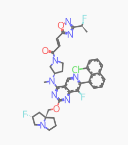 C[C@H](F)c1noc(/C=C/C(=O)N2CC[C@@H](N(C)c3nc(OC[C@@]45CCCN4C[C@H](F)C5)nc4c(F)c(-c5cccc6cccc(Cl)c56)ncc34)C2)n1